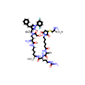 CC(C)C(NC(=O)CCCCCN1C(=O)CC(SC[C@H](N)C(=O)O)C1=O)C(=O)N[C@@H](CCCNC(N)=O)C(=O)N[C@@H](CCCCNC(=O)[C@@H](N)CCN(C(=O)CO)[C@@H](c1nn(-c2cc(F)ccc2F)cc1Cc1ccccc1)C(C)(C)C)C(=O)O